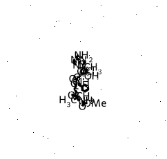 COC(=O)NCC(C)(C)C(=O)SCCOP(=O)(NCc1ccccc1)OC[C@H]1O[C@@H](n2cnc3c(N)ncnc32)[C@](C)(Cl)[C@@H]1O